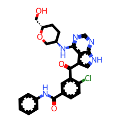 O=C(Nc1ccccc1)c1ccc(Cl)c(C(=O)c2c[nH]c3ncnc(N[C@@H]4CC[C@@H](CO)OC4)c23)c1